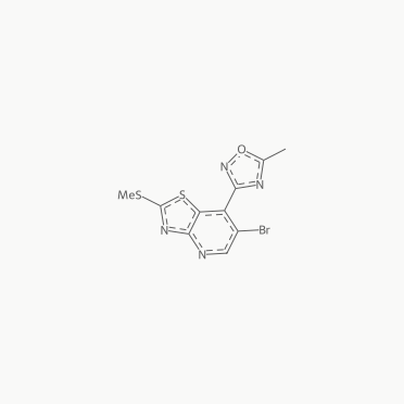 CSc1nc2ncc(Br)c(-c3noc(C)n3)c2s1